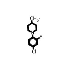 [CH2]C1CCN(c2ccc(Cl)cc2F)CC1